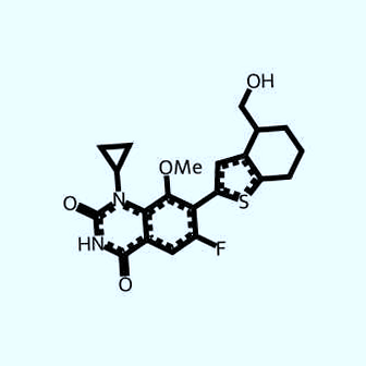 COc1c(-c2cc3c(s2)CCCC3CO)c(F)cc2c(=O)[nH]c(=O)n(C3CC3)c12